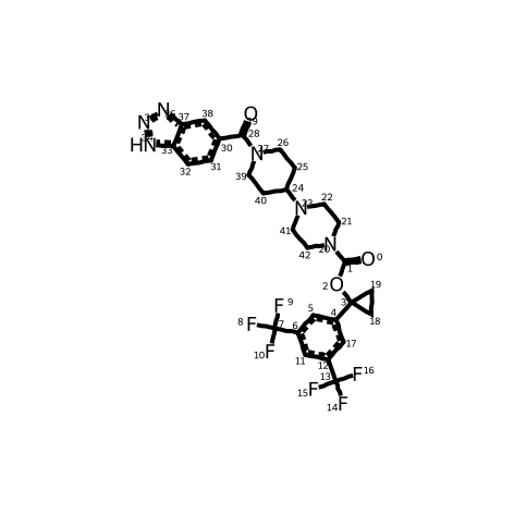 O=C(OC1(c2cc(C(F)(F)F)cc(C(F)(F)F)c2)CC1)N1CCN(C2CCN(C(=O)c3ccc4[nH]nnc4c3)CC2)CC1